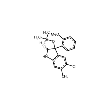 COc1ccccc1C1(O[Si](C)(C)C)C(=O)Nc2cc(C)c(Cl)cc21